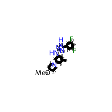 COC1CCN(c2cc(C)cc(Nc3n[nH]c(-c4cc(F)cc(F)c4)n3)c2)CC1